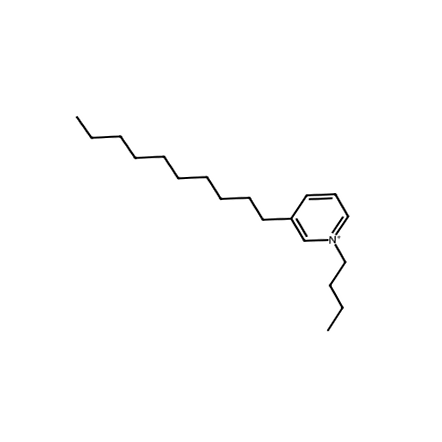 CCCCCCCCCCc1ccc[n+](CCCC)c1